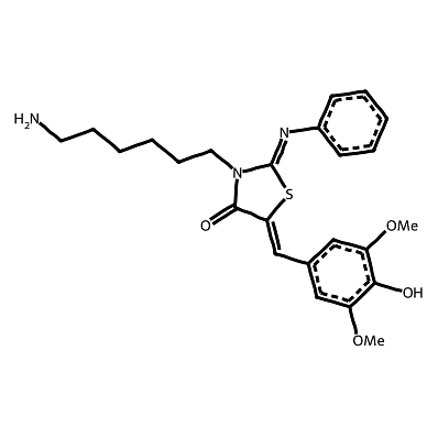 COc1cc(/C=C2\S/C(=N\c3ccccc3)N(CCCCCCN)C2=O)cc(OC)c1O